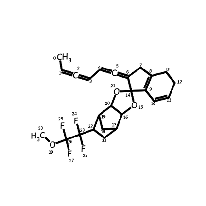 CC=C=CC=C=C1CC2=C(C=CCC2)C12OC1C3CC(C1O2)C(C(F)(F)C(F)(F)OC)C3